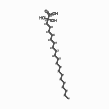 CCCCCCCCCCCCCCCCCCCCC(O)(O)C(=O)O